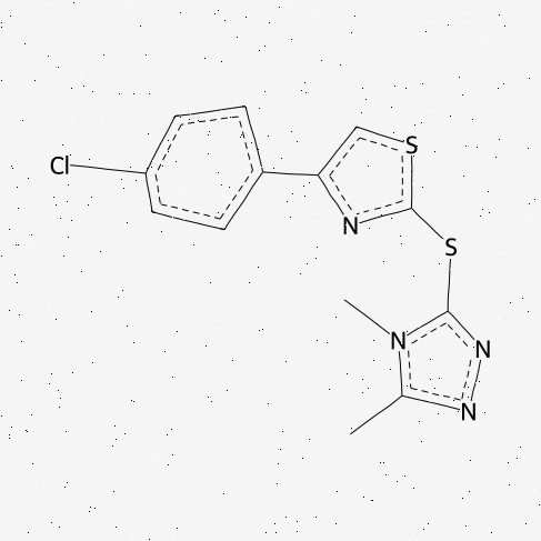 Cc1nnc(Sc2nc(-c3ccc(Cl)cc3)cs2)n1C